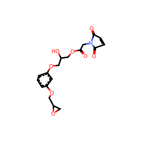 O=C(CN1C(=O)C=CC1=O)OCC(O)COc1cccc(OCC2CO2)c1